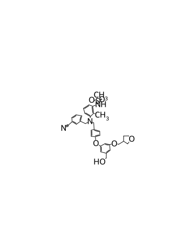 Cc1c(NS(C)(=O)=O)cccc1N(Cc1ccc(Oc2cc(CO)cc(OCC3CCOC3)c2)cc1)Cc1cccc(C#N)c1